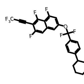 Fc1cc2cc(OC(F)(F)c3ccc(C4CCCCC4)cc3)cc(F)c2c(F)c1C#CC(F)(F)F